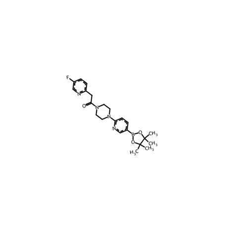 CC1(C)OB(c2ccc(N3CCN(C(=O)Cc4ccc(F)cn4)CC3)nc2)OC1(C)C